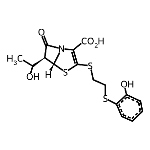 CC(O)[C@H]1C(=O)N2C(C(=O)O)=C(SCCSc3ccccc3O)S[C@H]12